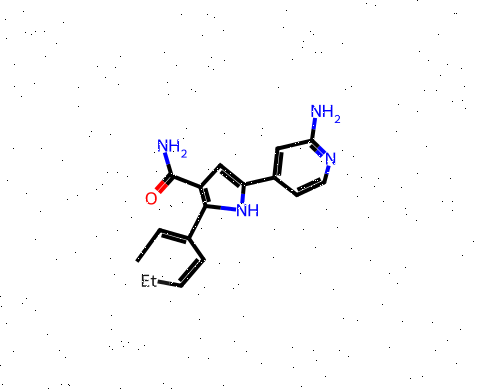 C/C=C(\C=C/CC)c1[nH]c(-c2ccnc(N)c2)cc1C(N)=O